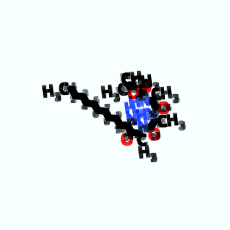 CCCCCCCCCCCC(N)C(=O)[C@H](C)NC(=O)[C@H](C)NC(=O)[C@H](C)NC(=O)OC(C)(C)C